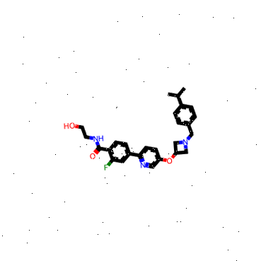 CC(C)c1ccc(CN2CC(Oc3ccc(-c4ccc(C(=O)NCCO)c(F)c4)nc3)C2)cc1